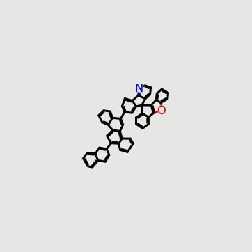 c1ccc2c(c1)-c1oc3ccccc3c1C21c2cc(-c3cc4c5ccccc5c(-c5ccc6ccccc6c5)cc4c4ccccc34)ccc2-c2ncccc21